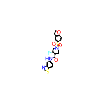 O=C(Nc1ccc2scnc2c1)[C@H]1CCN(S(=O)(=O)c2ccc3c(c2)CCO3)C[C@H]1F